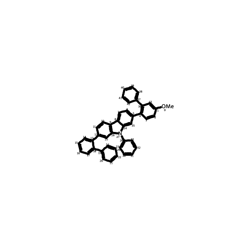 COc1ccc(-c2ccc3c4ccc(-c5ccccc5-c5ccccc5)cc4n(-c4ccccc4)c3c2)c(-c2ccccc2)c1